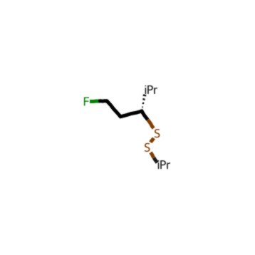 CC(C)SS[C@H](CCF)C(C)C